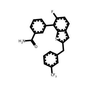 NC(=O)c1cccc(-c2c(F)ccc3cc(Cc4cccc(C(F)(F)F)c4)sc23)c1